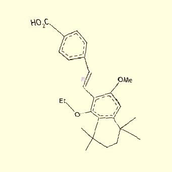 CCOc1c(/C=C/c2ccc(C(=O)O)cc2)c(OC)cc2c1C(C)(C)CCC2(C)C